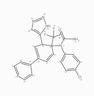 NC(=O)N(c1ccc(Cl)cc1)C1(C(F)(F)F)C=CC(c2ccccc2)=CC1c1nnn[nH]1